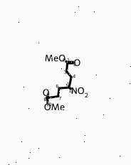 COC(=O)CCC(CCC(=O)OC)[N+](=O)[O-]